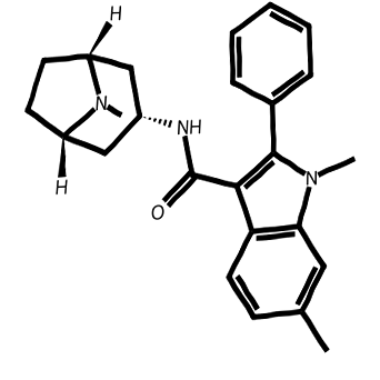 Cc1ccc2c(C(=O)N[C@H]3C[C@H]4CC[C@@H](C3)N4C)c(-c3ccccc3)n(C)c2c1